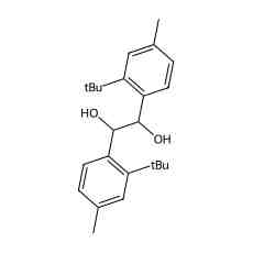 Cc1ccc(C(O)C(O)c2ccc(C)cc2C(C)(C)C)c(C(C)(C)C)c1